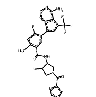 Cc1cc(F)c(-c2cc(C(F)(F)F)c3c(N)ncnn23)cc1C(=O)NC1CN(C(=O)c2cscn2)CC1F